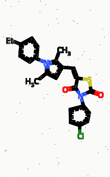 CCc1ccc(-n2c(C)cc(C=C3SC(=O)N(c4ccc(Cl)cc4)C3=O)c2C)cc1